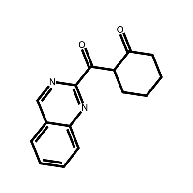 O=C1CCCCC1C(=O)c1ncc2ccccc2n1